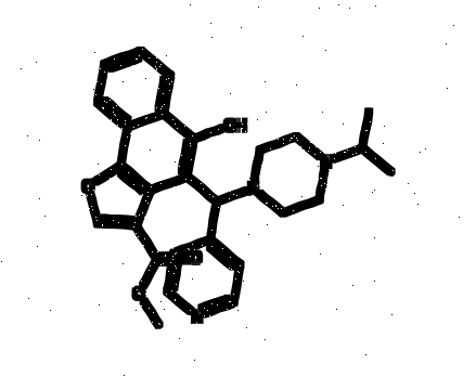 COC(=O)c1coc2c1c(C(c1ccncc1)N1CCN(C(C)C)CC1)c(O)c1ccccc12